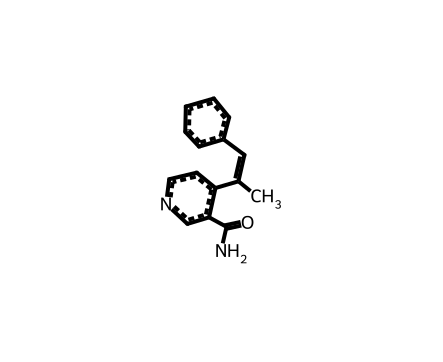 CC(=Cc1ccccc1)c1ccncc1C(N)=O